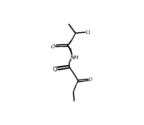 CCC(=O)C(=O)NC(=O)C(C)Cl